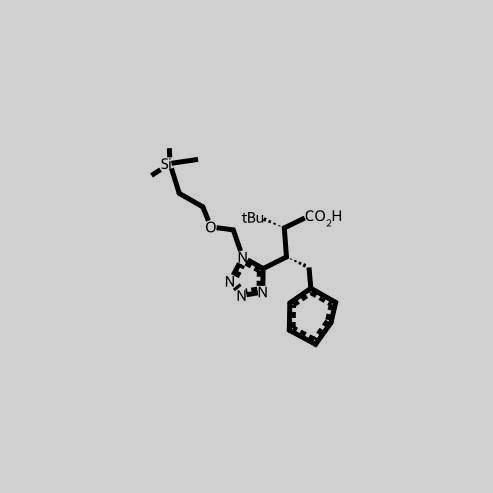 CC(C)(C)[C@H](C(=O)O)[C@H](Cc1ccccc1)c1nnnn1COCC[Si](C)(C)C